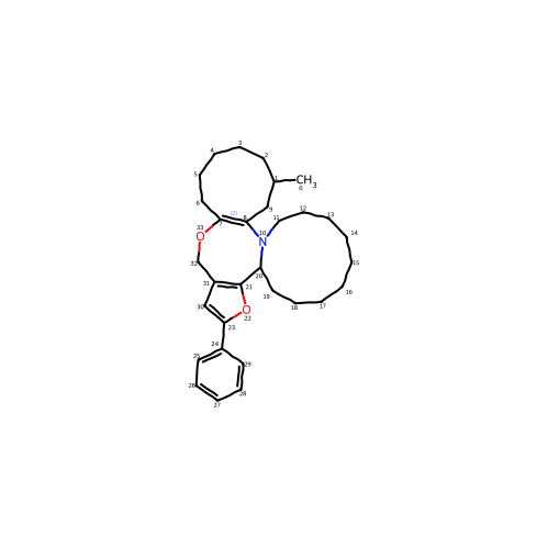 CC1CCCCC/C2=C(\C1)N1CCCCCCCCCC1c1oc(-c3ccccc3)cc1CO2